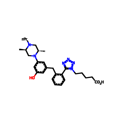 CCCN1C[C@H](C)N(c2cc(O)cc(Cc3ccccc3-c3nnnn3CCCCC(=O)O)c2)C[C@H]1C